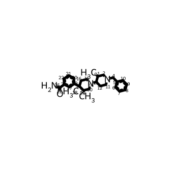 CC1CN(Cc2ccccc2)CCC1N1CC[C@@](C)(c2cccc(C(N)=O)c2)[C@@H](C)C1